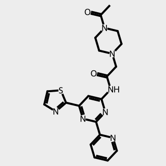 CC(=O)N1CCN(CC(=O)Nc2cc(-c3nccs3)nc(-c3ccccn3)n2)CC1